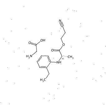 CCc1ccccc1N[C@@H](C)C(=O)OCCC#N.NCC(=O)O